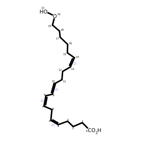 O=C(O)CCC/C=C\C/C=C\C=C\CC/C=C\CCCCCOO